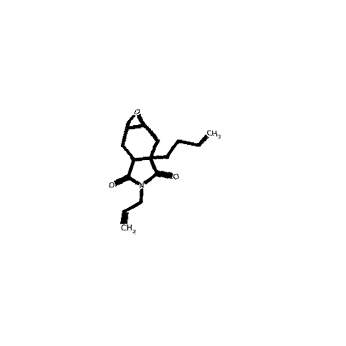 C=CCN1C(=O)C2CC3OC3CC2(CCCC)C1=O